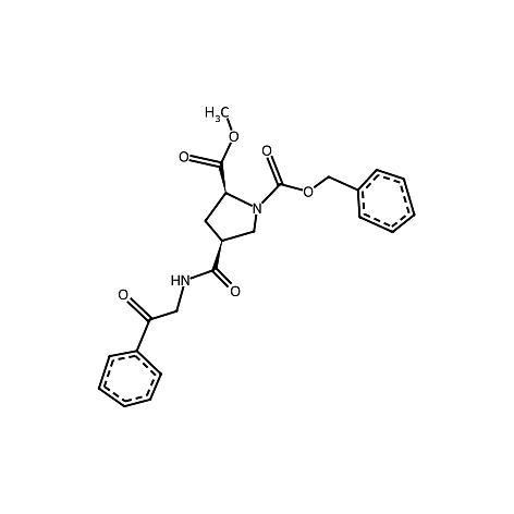 COC(=O)[C@@H]1C[C@H](C(=O)NCC(=O)c2ccccc2)CN1C(=O)OCc1ccccc1